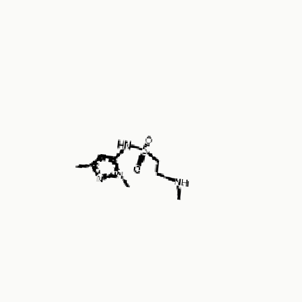 CNCCS(=O)(=O)Nc1cc(C)nn1C